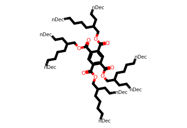 CCCCCCCCCCCCCCC(CCCCCCCCCCCC)COC(=O)c1cc(C(=O)OCC(CCCCCCCCCCCC)CCCCCCCCCCCCCC)c(C(=O)OCC(CCCCCCCCCCCC)CCCCCCCCCCCCCC)cc1C(=O)OCC(CCCCCCCCCCCC)CCCCCCCCCCCCCC